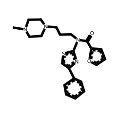 CN1CCN(CCCN(C(=O)c2ccco2)c2nc(-c3ccccc3)cs2)CC1